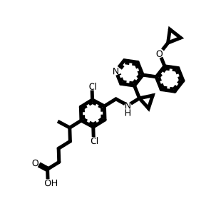 CC(CCCC(=O)O)c1cc(Cl)c(CNC2(c3cnccc3-c3ccccc3OC3CC3)CC2)cc1Cl